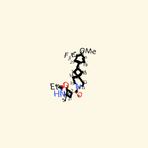 CCC(=O)N[C@]1(C)C[C@H](C(=O)N2CCC3(CC2)CC(c2ccc(OC)c(C(F)(F)F)c2)C3)C1